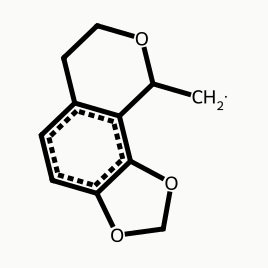 [CH2]C1OCCc2ccc3c(c21)OCO3